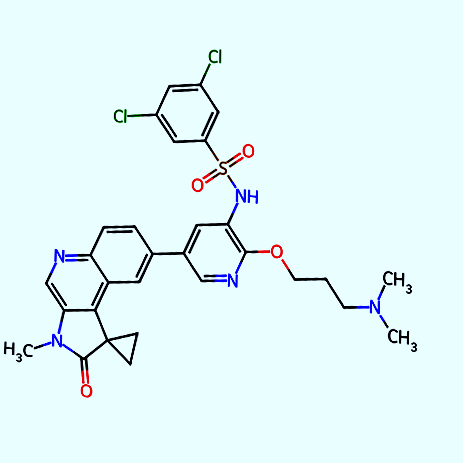 CN(C)CCCOc1ncc(-c2ccc3ncc4c(c3c2)C2(CC2)C(=O)N4C)cc1NS(=O)(=O)c1cc(Cl)cc(Cl)c1